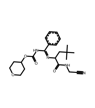 CC(C)(C)CC(N=C(NC(=O)OC1CCOCC1)c1ccccc1)C(=O)NCC#N